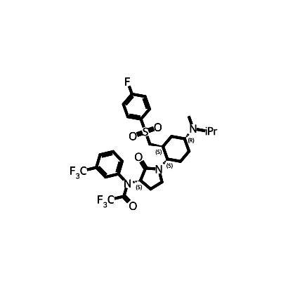 CC(C)N(C)[C@@H]1CC[C@H](N2CC[C@H](N(C(=O)C(F)(F)F)c3cccc(C(F)(F)F)c3)C2=O)[C@@H](CS(=O)(=O)c2ccc(F)cc2)C1